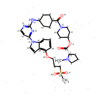 CN1CCC[C@H]1C(=O)OC1CCN(C(=O)C2CCC(Nc3nccc(-n4ccc5c(OCCCS(C)(=O)=O)cccc54)n3)CC2)CC1